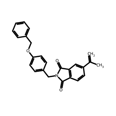 C=C(C)c1ccc2c(c1)C(=O)N(Cc1ccc(OCc3ccccc3)cc1)C2=O